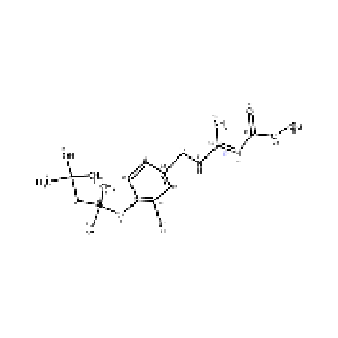 CC(C)(O)CC(C)(C)Oc1ccc(CN/C(N)=N/C(=O)OC(C)(C)C)cc1Br